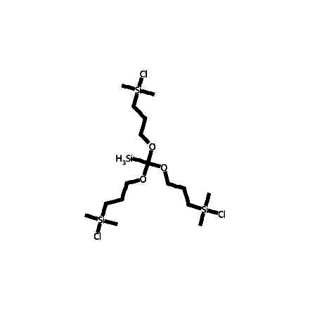 C[Si](C)(Cl)CCCOC([SiH3])(OCCC[Si](C)(C)Cl)OCCC[Si](C)(C)Cl